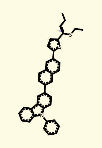 CC/C=C(\SCC)c1ccc(-c2ccc3cc(-c4ccc5c(c4)c4ccccc4n5-c4ccccc4)ccc3c2)s1